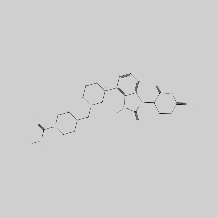 Cn1c(=O)n(C2CCC(=O)NC2=O)c2cccc(C3CCCN(CC4CCN(C(=O)OC(C)(C)C)CC4)C3)c21